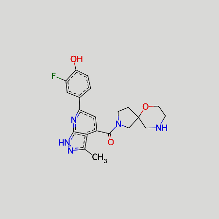 Cc1n[nH]c2nc(-c3ccc(O)c(F)c3)cc(C(=O)N3CCC4(CNCCO4)C3)c12